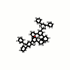 c1ccc(-c2cc(-c3ccccc3)nc(-c3cc(-c4ccccc4)c(-n4c5ccccc5c5c6oc7cc8c9ccccc9n(-c9ccccc9)c8cc7c6ccc54)c(-c4ccccc4)c3)n2)cc1